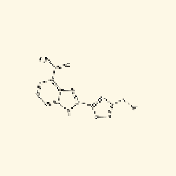 CC(C)Cc1cc(-c2nc3c(C(N)=O)cccc3[nH]2)on1